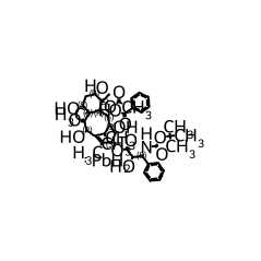 CC(=O)O[C@@]12CO[C@@H]1C[C@H](O)[C@@]1(C)C(=O)[C@H](O)C3=C(C)[C@@H](OC(=O)C(O)[C@@H](NC(=O)OC(C)(C)C)c4ccccc4)C[C@@](O)([C@@H](OC(=O)c4ccccc4)[C@H]21)C3(C)C.[PbH2]